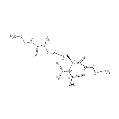 CCCOC(=O)C(N)CSSC[C@@H](C(=O)OCCC)N(C(C)=O)C(C)=O